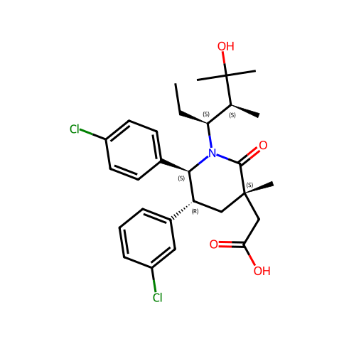 CC[C@@H]([C@H](C)C(C)(C)O)N1C(=O)[C@](C)(CC(=O)O)C[C@H](c2cccc(Cl)c2)[C@H]1c1ccc(Cl)cc1